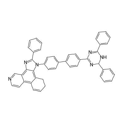 C1=Cc2c(c3c(nc(-c4ccccc4)n3-c3ccc(-c4ccc(C5=NC(c6ccccc6)NC(c6ccccc6)=N5)cc4)cc3)c3cnccc23)CC1